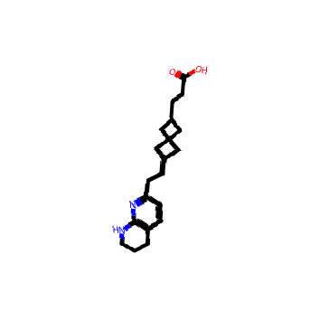 O=C(O)CCC1CC2(C1)CC(CCc1ccc3c(n1)NCCC3)C2